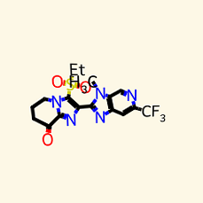 CCS(=O)(=O)c1c(-c2nc3cc(C(F)(F)F)ncc3n2C)nc2n1CCCC2=O